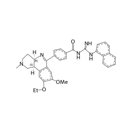 CCOc1cc2c(cc1OC)C(c1ccc(C(=O)NC(=N)Nc3cccc4ccccc34)cc1)=N[C@@H]1CCN(C)C[C@H]21